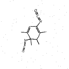 CC1=CC(N=C=O)=C(C)C(C)C1(C)N=C=O